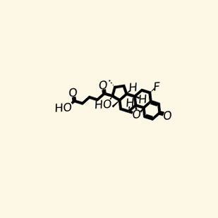 C[C@@H]1C[C@H]2[C@@H]3C[C@H](F)C4=CC(=O)C=C[C@]4(C)[C@@]34O[C@H]4C[C@]2(C)[C@@]1(O)C(=O)CCCC(=O)O